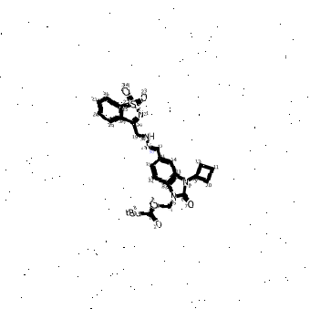 CC(C)(C)C(=O)OCn1c(=O)n(C2CCC2)c2cc(/C=N/NCC3=NS(=O)(=O)c4ccccc43)ccc21